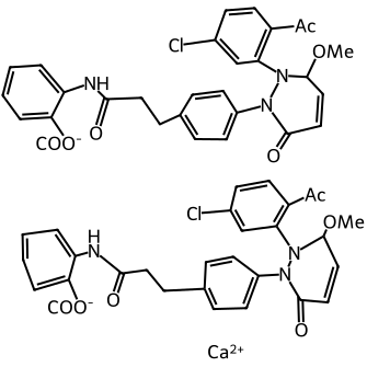 COC1C=CC(=O)N(c2ccc(CCC(=O)Nc3ccccc3C(=O)[O-])cc2)N1c1cc(Cl)ccc1C(C)=O.COC1C=CC(=O)N(c2ccc(CCC(=O)Nc3ccccc3C(=O)[O-])cc2)N1c1cc(Cl)ccc1C(C)=O.[Ca+2]